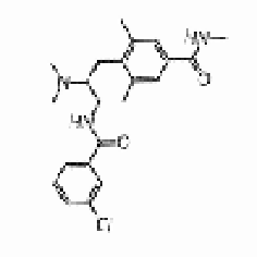 CNC(=O)c1cc(C)c(C[C@@H](CNC(=O)c2cccc(Cl)c2)N(C)C)c(C)c1